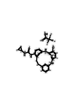 O=C(Nc1ccc2cc1CCc1cccc(c1)Nc1ncc(Cl)c(n1)N2)NC1CC1.O=C(O)C(F)(F)F